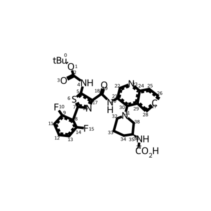 CC(C)(C)OC(=O)Nc1sc(-c2c(F)cccc2F)nc1C(=O)Nc1cnc2ccccc2c1N1CCC[C@H](NC(=O)O)C1